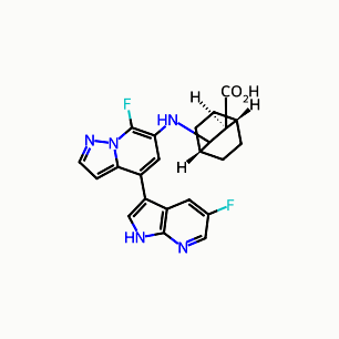 O=C(O)[C@@H]1C(Nc2cc(-c3c[nH]c4ncc(F)cc34)c3ccnn3c2F)[C@H]2CC[C@@H]1CC2